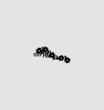 CC(OCc1ccc(Oc2ccccc2)cc1)c1ccc2nc(Nc3cccnc3Oc3ccccc3C(C)(C)C)[nH]c2c1